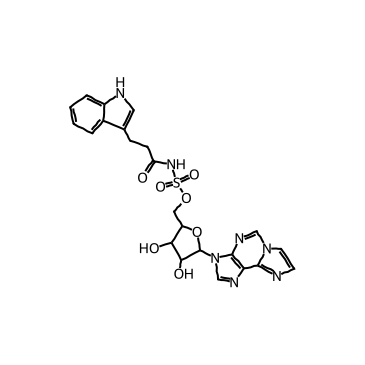 O=C(CCc1c[nH]c2ccccc12)NS(=O)(=O)OCC1OC(n2cnc3c2ncn2ccnc32)C(O)C1O